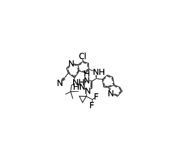 CC(C)(C)CNc1c(C#N)cnc2c(Cl)cc(N[C@H](C3=CN(C4(C(F)F)CC4)NN3)c3ccc4cccnc4c3)cc12